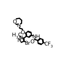 Cn1ncc(Br)c1-c1cc(NC(=O)c2ccc(C(F)(F)F)cc2)ccc1OCCN1CCCCOC1